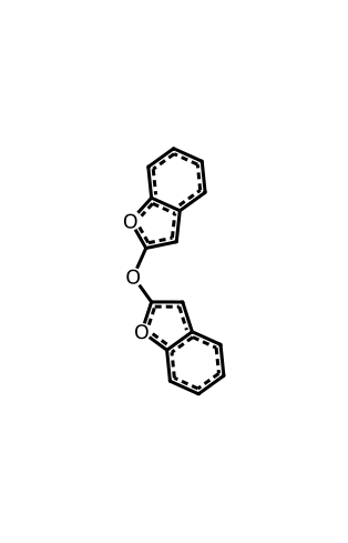 c1ccc2oc(Oc3cc4ccccc4o3)cc2c1